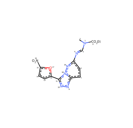 CCOC(=O)N(C)C=Nc1ccc2nnc(-c3ccc([N+](=O)[O-])o3)n2n1